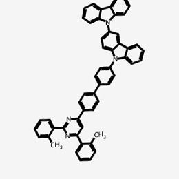 Cc1ccccc1-c1cc(-c2ccc(-c3ccc(-n4c5ccccc5c5cc(-n6c7ccccc7c7ccccc76)ccc54)cc3)cc2)nc(-c2ccccc2C)n1